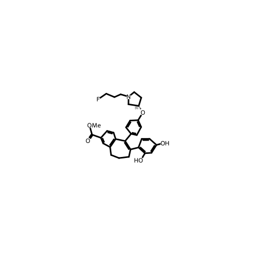 COC(=O)c1ccc2c(c1)CCCC(c1ccc(O)cc1O)=C2c1ccc(O[C@H]2CCN(CCCF)C2)cc1